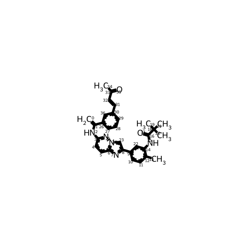 C=C(Nc1ccc2nc(-c3ccc(C)c(NC(=O)C(C)(C)C)c3)cn2n1)c1cccc(/C=C/C(C)=O)c1